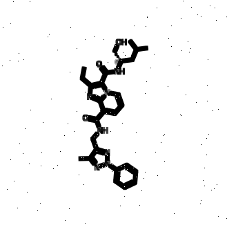 CCc1nc2c(C(=O)NCc3nn(-c4ccccc4)nc3C)cccn2c1C(=O)N[C@H](CO)CC(C)C